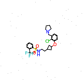 O=S(=O)(NCCC1CC(Oc2cccc(CN3CCCC3)c2Cl)C1)c1ccccc1C(F)(F)F